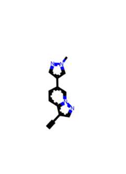 C#Cc1cnn2cc(-c3cnn(C)c3)ccc12